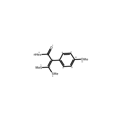 CCCCCCC(=O)C(=C(SC)SC)c1ccc(OC)cc1